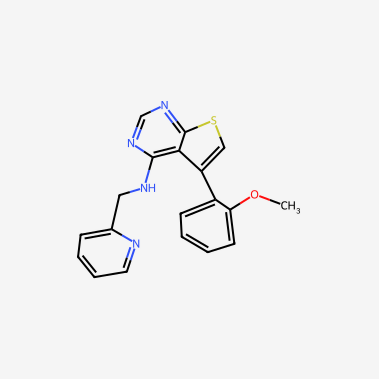 COc1ccccc1-c1csc2ncnc(NCc3ccccn3)c12